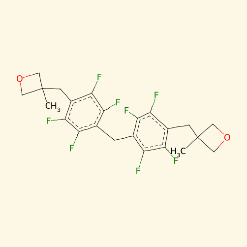 CC1(Cc2c(F)c(F)c(Cc3c(F)c(F)c(CC4(C)COC4)c(F)c3F)c(F)c2F)COC1